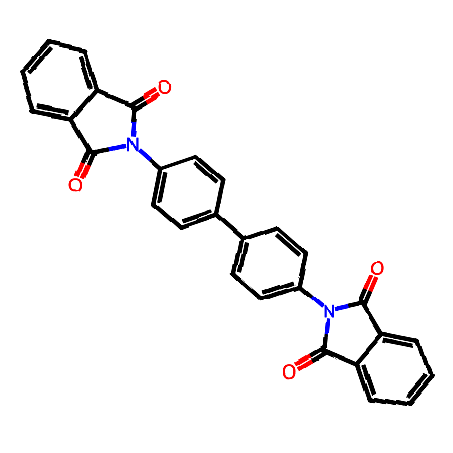 O=C1c2ccccc2C(=O)N1c1ccc(-c2ccc(N3C(=O)c4ccccc4C3=O)cc2)cc1